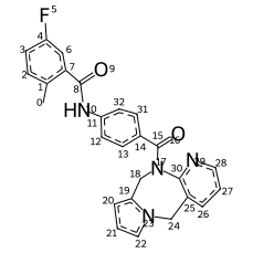 Cc1ccc(F)cc1C(=O)Nc1ccc(C(=O)N2Cc3cccn3Cc3cccnc32)cc1